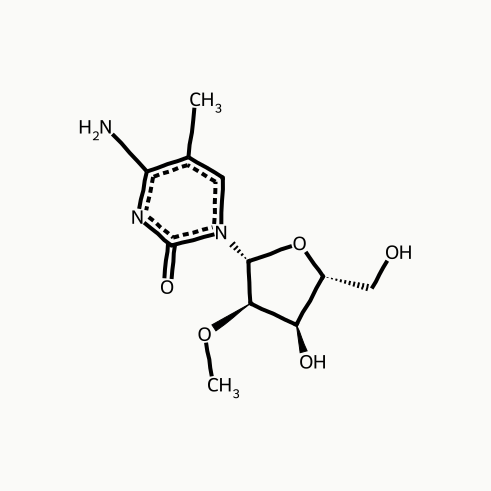 CO[C@@H]1[C@H](O)[C@@H](CO)O[C@H]1n1cc(C)c(N)nc1=O